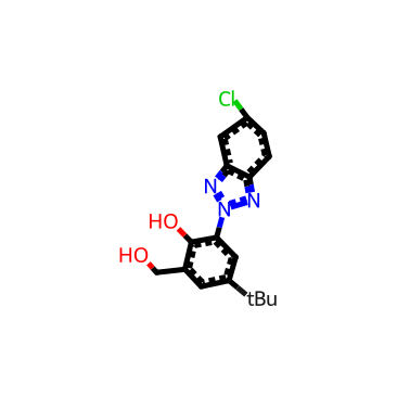 CC(C)(C)c1cc(CO)c(O)c(-n2nc3ccc(Cl)cc3n2)c1